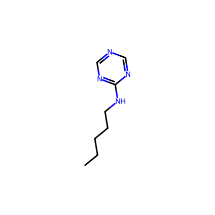 CCCCCNc1ncncn1